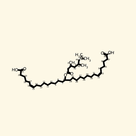 CC(CC(=O)OC(CCCCCCCC/C=C\CCCCC(=O)O)CCCCCCCC/C=C\CCCCC(=O)O)CC(C)CN(C)C